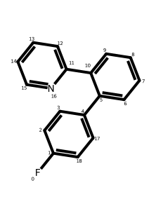 Fc1ccc(-c2ccccc2-c2ccccn2)cc1